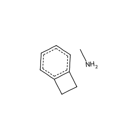 CN.c1ccc2c(c1)CC2